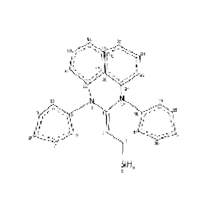 [SiH3]CC=C(N(c1ccccc1)c1ccccc1)N(c1ccccc1)c1ccccc1